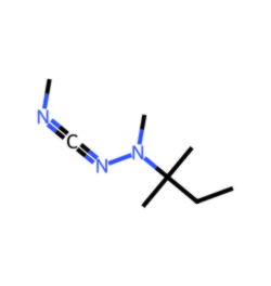 CCC(C)(C)N(C)N=C=NC